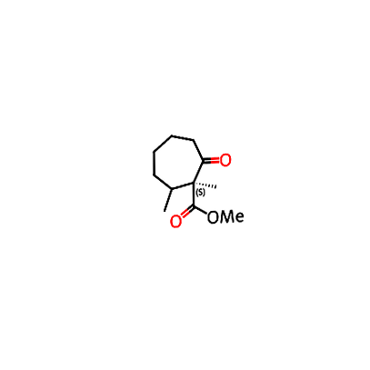 COC(=O)[C@]1(C)C(=O)CCCCC1C